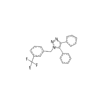 FC(F)(F)c1cccc(Cn2nnc(-c3ccccc3)c2-c2ccccc2)c1